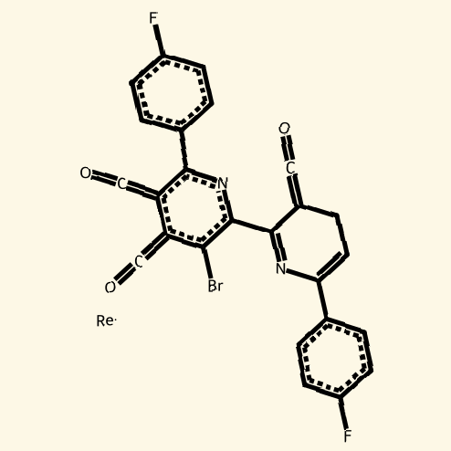 O=C=C1CC=C(c2ccc(F)cc2)N=C1c1nc(-c2ccc(F)cc2)c(=C=O)c(=C=O)c1Br.[Re]